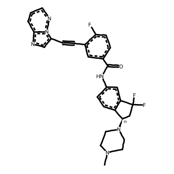 CN1CCN([C@@H]2CC(F)(F)c3cc(NC(=O)c4ccc(F)c(C#Cc5cnc6cccnn56)c4)ccc32)CC1